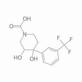 O=C(O)N1CCC(O)(c2cccc(C(F)(F)F)c2)C(O)C1